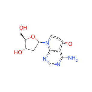 Nc1ncnc2c1c(=O)ccn2[C@H]1C[C@H](O)[C@@H](CO)O1